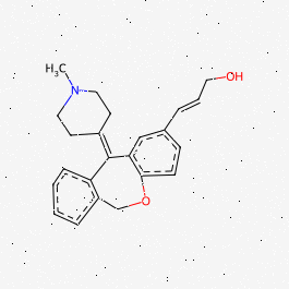 CN1CCC(=C2c3ccccc3COc3ccc(C=CCO)cc32)CC1